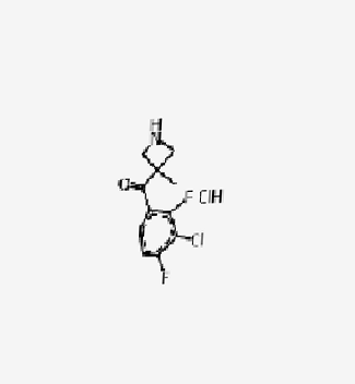 CC1(C(=O)c2ccc(F)c(Cl)c2F)CNC1.Cl